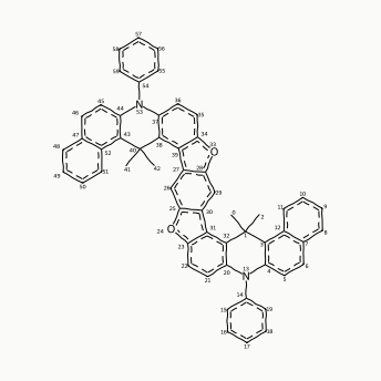 CC1(C)c2c(ccc3ccccc23)N(c2ccccc2)c2ccc3oc4cc5c(cc4c3c21)oc1ccc2c(c15)C(C)(C)c1c(ccc3ccccc13)N2c1ccccc1